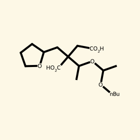 CCCCOC(C)OC(C)C(CC(=O)O)(CC1CCCO1)C(=O)O